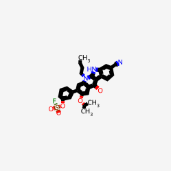 CCCCn1c2cc(-c3cccc(OS(=O)(=O)F)c3)c(OC(C)C)cc2c(=O)c2c3ccc(C#N)cc3[nH]c21